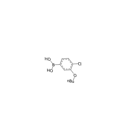 CCCCOc1cc(B(O)O)ccc1Cl